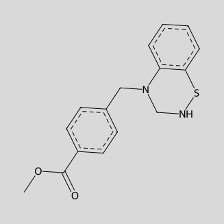 COC(=O)c1ccc(CN2CNSc3ccccc32)cc1